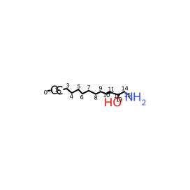 CCCCCCCCCCC=CC(O)CN